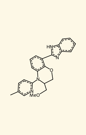 COCC1COc2c(-c3nc4ccccc4[nH]3)cccc2N1c1ccc(C)cn1